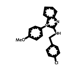 COc1ccc(-n2c(NCc3ccc(Cl)cc3)nc3ccccc32)cc1